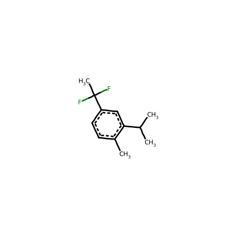 Cc1ccc(C(C)(F)F)cc1C(C)C